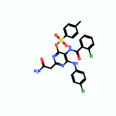 Cc1ccc(S(=O)(=O)Oc2nc(CC(N)=O)nc(Nc3ccc(Cl)cc3)c2NC(=O)c2ccccc2Cl)cc1